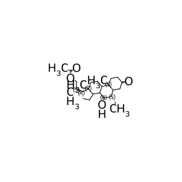 CC[C@H]1C2CC(=O)CC[C@]2(C)C2CC[C@@]3(C)C(CC[C@@H]3[C@H](C)COC(C)=O)C2[C@@H]1O